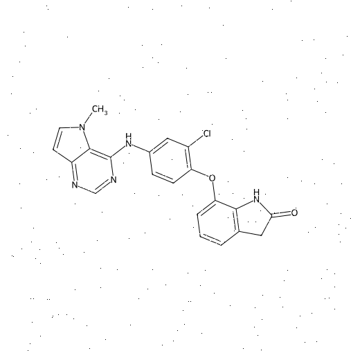 Cn1ccc2ncnc(Nc3ccc(Oc4cccc5c4NC(=O)C5)c(Cl)c3)c21